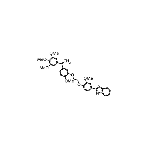 C=C(c1ccc(OC)c(OCCOc2ccc(-c3nc4ccccc4s3)cc2OC)c1)c1cc(OC)c(OC)c(OC)c1